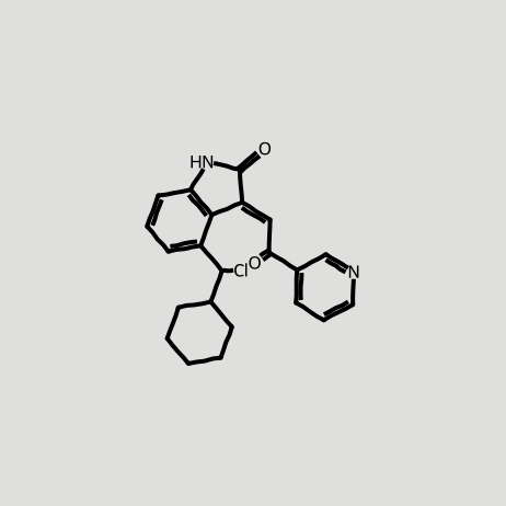 O=C1Nc2cccc(C(Cl)C3CCCCC3)c2/C1=C\C(=O)c1cccnc1